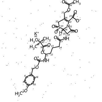 COc1ccc(COC(=O)NC(CCCC(=O)N[C@H]2C(=O)N3C(C(=O)[O-])=C(COC(C)=O)CS(=O)(=O)[C@@H]23)OC(=O)C(C)(C)C)cc1.[K+]